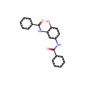 O=C(Nc1ccc(O)c(NC(=O)c2ccccc2)c1)c1ccccc1